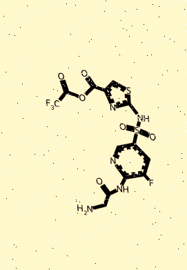 NCC(=O)Nc1ncc(S(=O)(=O)Nc2nc(C(=O)OC(=O)C(F)(F)F)cs2)cc1F